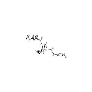 Br.Br.CCCCCC[CH2][AlH2]